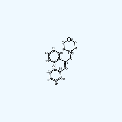 C(=C(CN1CCOCC1)c1ccccc1)c1ccccc1